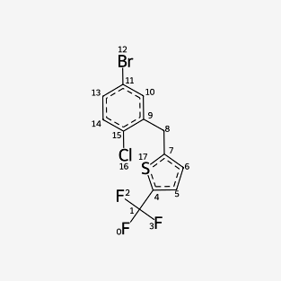 FC(F)(F)c1ccc(Cc2cc(Br)ccc2Cl)s1